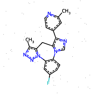 Cc1cc(-c2ncn3c2Cc2c(C)nnn2-c2cc(F)ccc2-3)ccn1